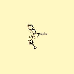 COCCN(C)C1CC2(CCNCC2)OC1S(=O)(=O)c1cc(C2CC2)nn1C